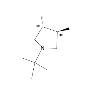 C[C@H]1CN(C(C)(C)C)C[C@@H]1C